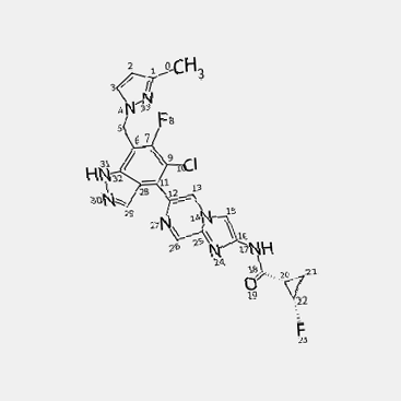 Cc1ccn(Cc2c(F)c(Cl)c(-c3cn4cc(NC(=O)[C@@H]5C[C@@H]5F)nc4cn3)c3cn[nH]c23)n1